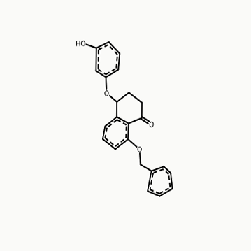 O=C1CCC(Oc2cccc(O)c2)c2cccc(OCc3ccccc3)c21